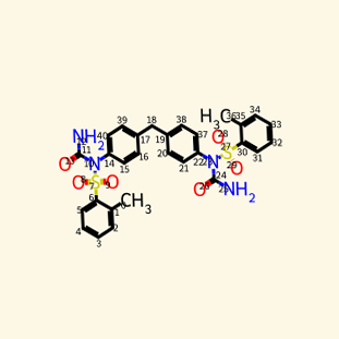 Cc1ccccc1S(=O)(=O)N(C(N)=O)c1ccc(Cc2ccc(N(C(N)=O)S(=O)(=O)c3ccccc3C)cc2)cc1